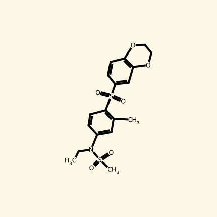 CCN(c1ccc(S(=O)(=O)c2ccc3c(c2)OCCO3)c(C)c1)S(C)(=O)=O